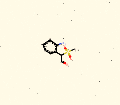 CS(=O)(=O)C(C=O)c1ccccc1N